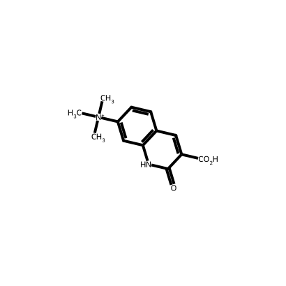 C[N+](C)(C)c1ccc2cc(C(=O)O)c(=O)[nH]c2c1